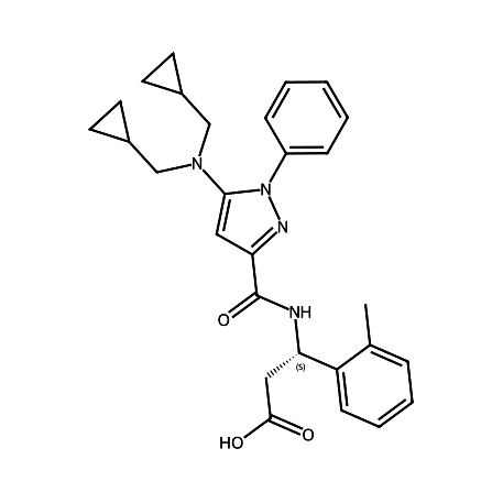 Cc1ccccc1[C@H](CC(=O)O)NC(=O)c1cc(N(CC2CC2)CC2CC2)n(-c2ccccc2)n1